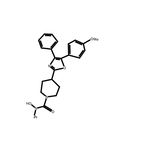 COc1ccc(-c2oc(C3CCN(C(=O)N(O)C(C)C)CC3)nc2-c2ccccc2)cc1